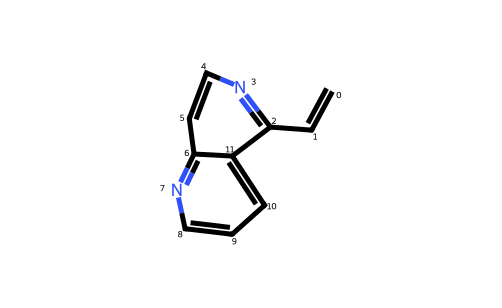 C=Cc1nccc2ncccc12